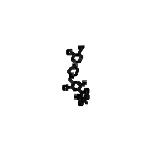 CS(=O)(=O)NC(=O)c1cc(Cl)c(CN2CCN(c3ccc(C4CC4)c(Cl)c3)CC2)cc1F